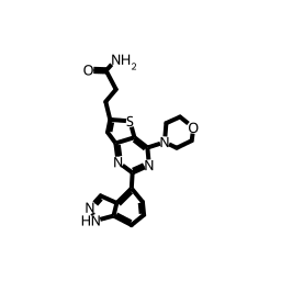 NC(=O)CCc1cc2nc(-c3cccc4[nH]ncc34)nc(N3CCOCC3)c2s1